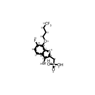 O=P(O)(O)Cc1sc2c(OCCCC(F)(F)F)c(F)ccc2c1Br